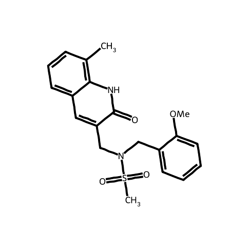 COc1ccccc1CN(Cc1cc2cccc(C)c2[nH]c1=O)S(C)(=O)=O